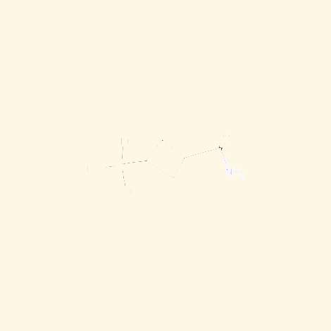 CC[Si](C)(C)C1CC(C(N)=O)C1